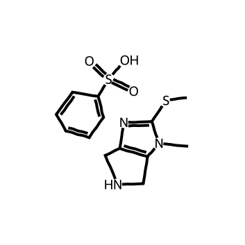 CSc1nc2c(n1C)CNC2.O=S(=O)(O)c1ccccc1